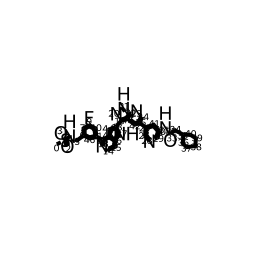 CS(=O)(=O)NCc1cc(F)cc(-c2nccc3[nH]c(-c4n[nH]c5ncc(-c6cncc(NC(=O)CC7CCCCC7)c6)cc45)cc23)c1